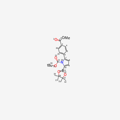 COC(=O)c1ccc(-c2ccc(B3OC(C)(C)C(C)(C)O3)n2C(=O)OC(C)(C)C)cc1